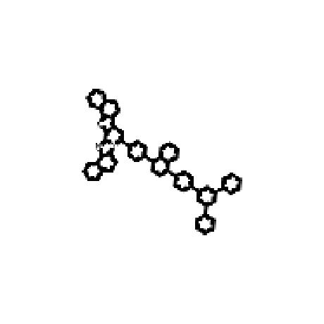 c1ccc(-c2cc(-c3ccccc3)cc(-c3ccc(-c4ccc(-c5ccc(-c6cc7c8ccc9ccccc9c8sc7c7nc8c9ccccc9ccc8n67)cc5)c5ccccc45)cc3)c2)cc1